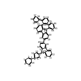 c1ccc(-c2ccc(-n3c4ccccc4c4cc(-c5ccc6c(c5)c5cccc(-c7ccccc7-c7ccccc7)c5n6-c5ccccc5)ccc43)cc2)cc1